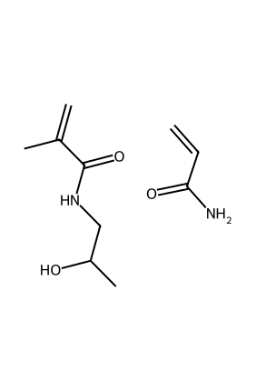 C=C(C)C(=O)NCC(C)O.C=CC(N)=O